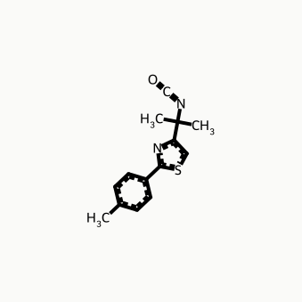 Cc1ccc(-c2nc(C(C)(C)N=C=O)cs2)cc1